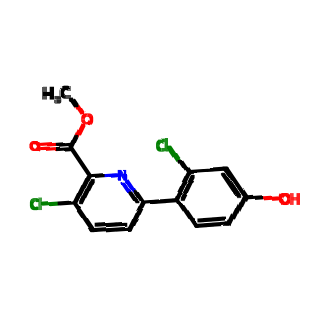 COC(=O)c1nc(-c2ccc(O)cc2Cl)ccc1Cl